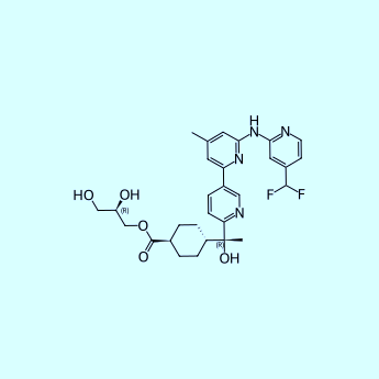 Cc1cc(Nc2cc(C(F)F)ccn2)nc(-c2ccc([C@](C)(O)[C@H]3CC[C@H](C(=O)OC[C@H](O)CO)CC3)nc2)c1